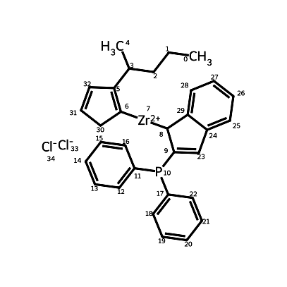 CCCC(C)C1=[C]([Zr+2][CH]2C(P(c3ccccc3)c3ccccc3)=Cc3ccccc32)CC=C1.[Cl-].[Cl-]